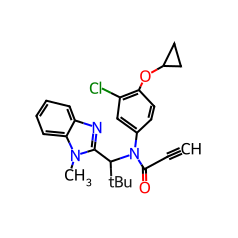 C#CC(=O)N(c1ccc(OC2CC2)c(Cl)c1)C(c1nc2ccccc2n1C)C(C)(C)C